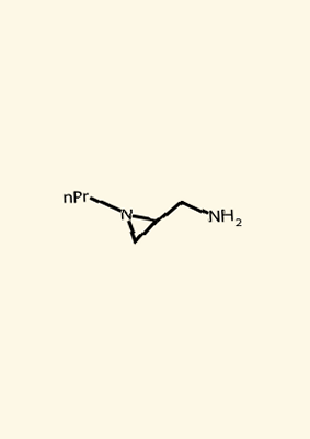 CCCN1CC1CN